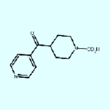 O=C(c1ccncc1)C1CCN(C(=O)O)CC1